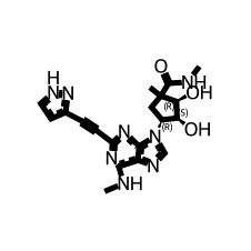 CNC(=O)C1(C)C[C@@H](n2cnc3c(NC)nc(C#Cc4cc[nH]n4)nc32)[C@H](O)[C@@H]1O